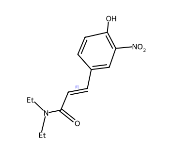 CCN(CC)C(=O)/C=C/c1ccc(O)c([N+](=O)[O-])c1